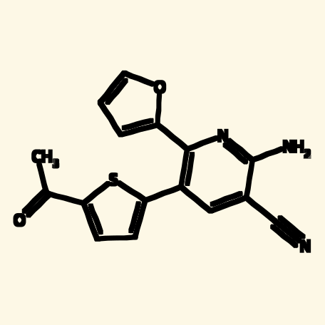 CC(=O)c1ccc(-c2cc(C#N)c(N)nc2-c2ccco2)s1